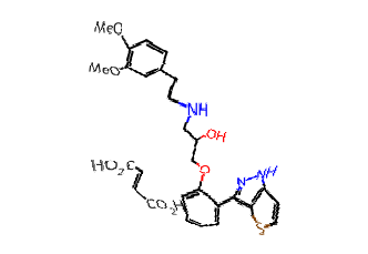 COc1ccc(CCNCC(O)COc2ccccc2-c2n[nH]c3ccsc23)cc1OC.O=C(O)C=CC(=O)O